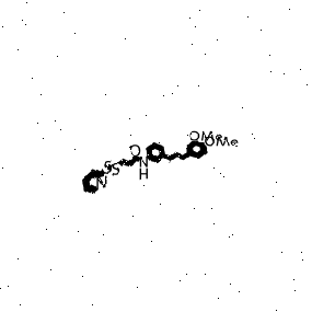 COc1ccc(CC[CH]c2cccc(NC(=O)CCSSc3ccccn3)c2)cc1OC